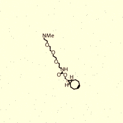 CNCCOCCOCCOCCNC(=O)OC[C@@H]1[C@@H]2CCC#CCC[C@@H]21